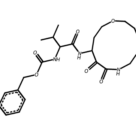 CC(C)C(NC(=O)OCc1ccccc1)C(=O)NC1CCOCCCCCNC(=O)C1=O